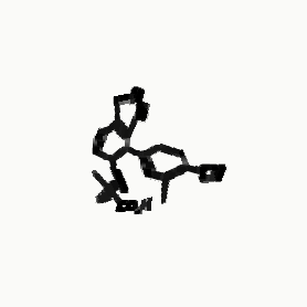 Cc1cc(-c2c(SC(C)(C)C(=O)O)ccc3cnsc23)ccc1C#N